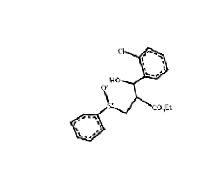 CCOC(=O)C(C[S+]([O-])c1ccccc1)C(O)c1ccccc1Cl